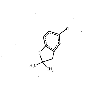 CC1(C)Cc2cc(Cl)ccc2O1